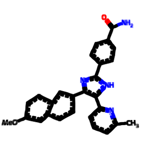 COc1ccc2cc(-c3nc(-c4ccc(C(N)=O)cc4)[nH]c3-c3cccc(C)n3)ccc2c1